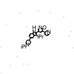 CC(C)c1c(-c2cc(-c3cccnc3)c(=O)n(C)c2)[nH]c2ccc(C3CCN(C(C)C)CC3)cc12